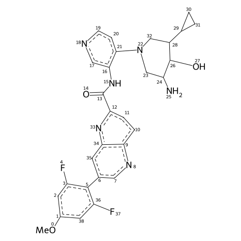 COc1cc(F)c(-c2cnc3ccc(C(=O)Nc4cnccc4N4CC(N)C(O)C(C5CC5)C4)nc3c2)c(F)c1